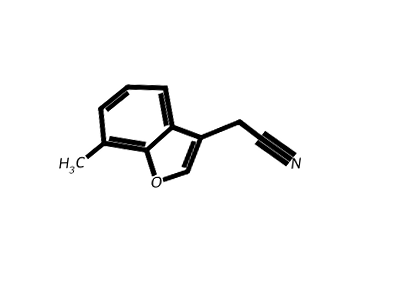 Cc1cccc2c(CC#N)coc12